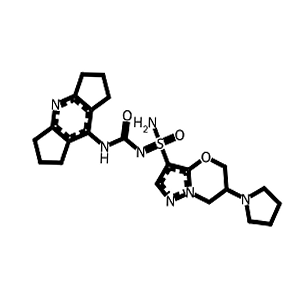 NS(=O)(=NC(=O)Nc1c2c(nc3c1CCC3)CCC2)c1cnn2c1OCC(N1CCCC1)C2